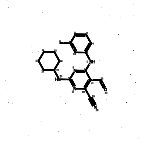 Cc1cccc(Nc2nc(NC3CCCCC3)nc(C#N)c2C=O)c1